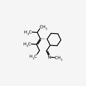 CC/C(C)=C(/C(C)C)[C@@H]1CCCCC1/C=N\C